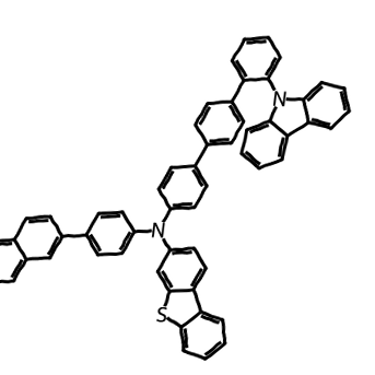 c1ccc(-n2c3ccccc3c3ccccc32)c(-c2ccc(-c3ccc(N(c4ccc(-c5ccc6ccccc6c5)cc4)c4ccc5c(c4)sc4ccccc45)cc3)cc2)c1